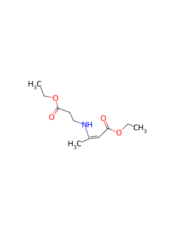 CCOC(=O)/C=C(/C)NCCC(=O)OCC